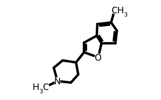 Cc1ccc2oc(C3CCN(C)CC3)cc2c1